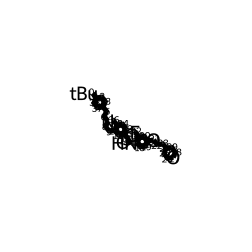 CC(C)(C)c1ccc(CCN2CCc3cc(S(=O)(=O)Nc4ccc(OCCC5CCOCC5)cc4F)ccc3C2)cc1